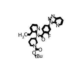 C=Cc1cccnc1N(C(=O)c1ccc(-n2nnc3cccnc32)cc1F)[C@@H]1CCCN(C(=O)OC(C)(C)C)C1